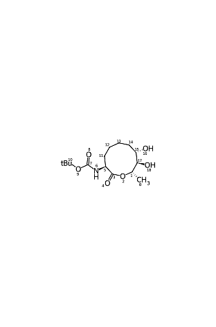 C[C@@H]1OC(=O)[C@@H](NC(=O)OC(C)(C)C)CCCC[C@H](O)[C@H]1O